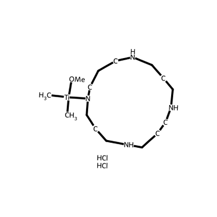 C[O][Ti]([CH3])([CH3])[N]1CCCNCCCNCCCNCCC1.Cl.Cl